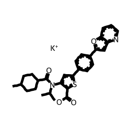 CC1CCC(C(=O)N(c2cc(-c3ccc(-c4cc5ncccc5o4)cc3)sc2C(=O)[O-])C(C)C)CC1.[K+]